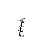 O=CCCCCCNC(=O)CCCC(=O)NCCCCCC(=O)N(CCO)CCO